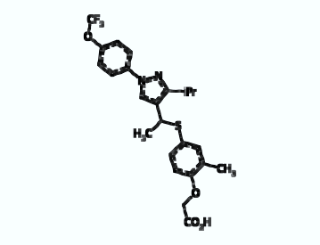 Cc1cc(SC(C)c2cn(-c3ccc(OC(F)(F)F)cc3)nc2C(C)C)ccc1OCC(=O)O